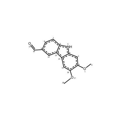 COc1cc2[nH]c3ccc(C=O)cc3c2cc1OC